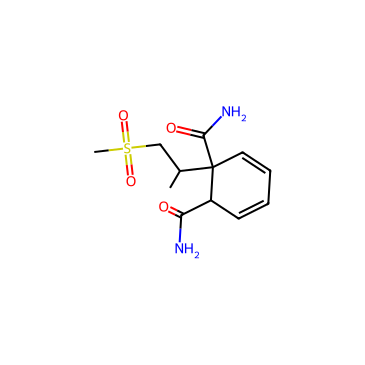 CC(CS(C)(=O)=O)C1(C(N)=O)C=CC=CC1C(N)=O